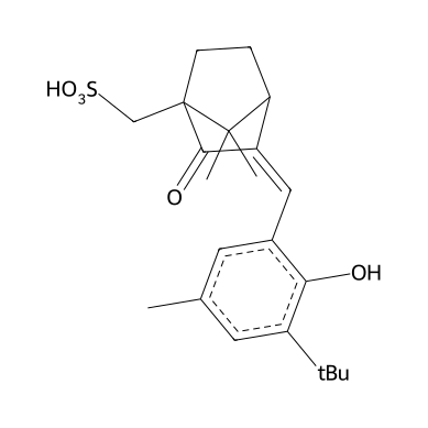 Cc1cc(C=C2C(=O)C3(CS(=O)(=O)O)CCC2C3(C)C)c(O)c(C(C)(C)C)c1